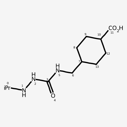 CC(C)NNC(=O)NCC1CCC(C(=O)O)CC1